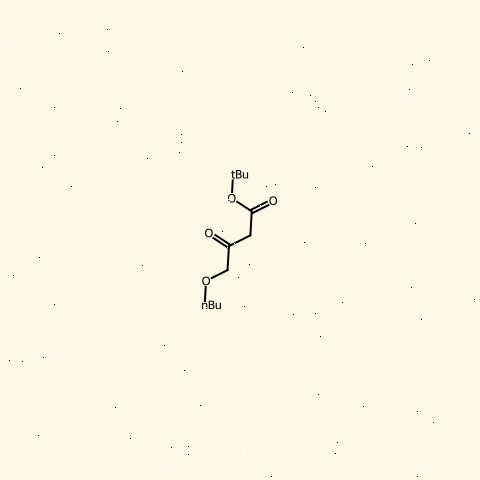 CCCCOCC(=O)CC(=O)OC(C)(C)C